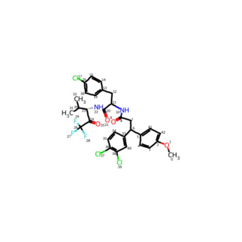 COc1ccc(C(CC(=O)NC(Cc2ccc(Cl)cc2)C(=O)N[C@H](C(=O)C(F)(F)F)C(C)C)c2ccc(Cl)c(Cl)c2)cc1